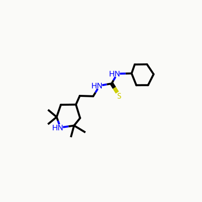 CC1(C)CC(CCNC(=S)NC2CCCCC2)CC(C)(C)N1